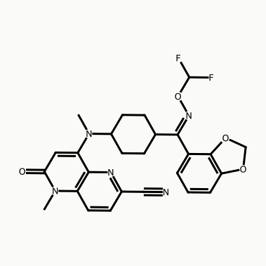 CN(c1cc(=O)n(C)c2ccc(C#N)nc12)C1CCC(/C(=N\OC(F)F)c2cccc3c2OCO3)CC1